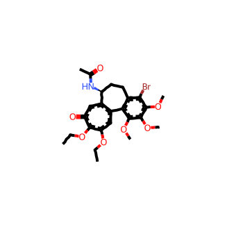 CCOc1cc2c(cc(=O)c1OCC)[C@@H](NC(C)=O)CCc1c(Br)c(OC)c(OC)c(OC)c1-2